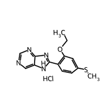 CCOc1cc(SC)ccc1-c1nc2ncncc2[nH]1.Cl